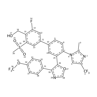 Cc1nc(C(F)(F)F)cn1-c1ccc(-c2cc(F)c(CO)c(S(C)(=O)=O)c2)cc1-c1ocnc1-c1ccc(OC(F)(F)F)cc1